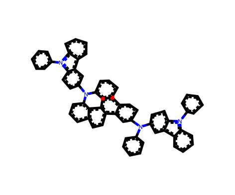 c1ccc(N(c2ccc3ccc4c(ccc5cccc(N(c6ccccc6)c6ccc7c(c6)c6ccccc6n7-c6ccccc6)c54)c3c2)c2ccc3c(c2)c2ccccc2n3-c2ccccc2)cc1